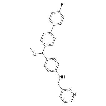 COC(c1ccc(NCc2cccnc2)cc1)c1ccc(-c2ccc(F)cc2)cc1